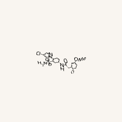 COc1ccc(Cl)c(CC(=O)Nc2ccc(-n3cc(Cl)cn3)c(S(N)(=O)=O)c2)c1